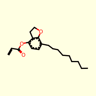 C=CC(=O)Oc1ccc(CCCCCCCCC)c2c1CCO2